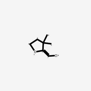 CC1(C)CCO/C1=C/Cl